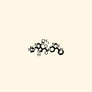 COc1cnc(-n2ccnn2)c2[nH]cc(C(=O)C(=O)N3CCc4c(ncnc4-c4ccccn4)C3)c12